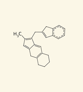 CC1=C(CC2=Cc3ccccc3C2)C2=CC3=C(CCCC3)CC2=C1